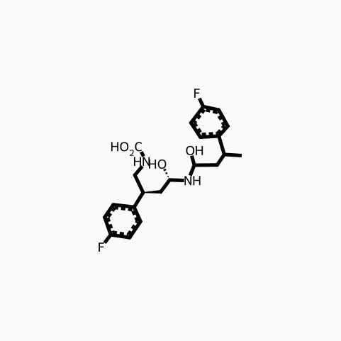 CC(CC(O)N[C@@H](O)C[C@H](CNC(=O)O)c1ccc(F)cc1)c1ccc(F)cc1